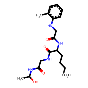 Cc1ccccc1NCC(=O)NC(CCCC(=O)O)C(=O)NCC(=O)NC(C)O